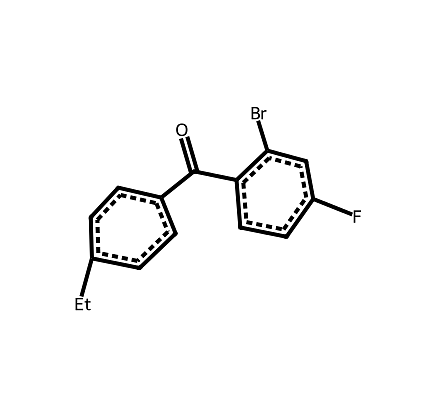 CCc1ccc(C(=O)c2ccc(F)cc2Br)cc1